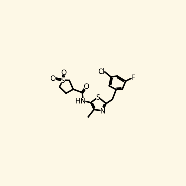 Cc1nc(Cc2cc(F)cc(Cl)c2)sc1NC(=O)C1CCS(=O)(=O)C1